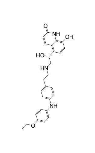 CCOc1ccc(Nc2ccc(CCNC[C@H](O)c3ccc(O)c4[nH]c(=O)ccc34)cc2)cc1